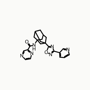 O=C(NC12CC3CC(C1)CC(c1nc(-c4cccnc4)no1)(C3)C2)c1cnccn1